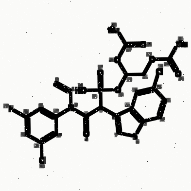 C=CN(C(=O)C(c1csc2ccc(Cl)cc12)P(=O)(O)OC(COC(=O)C(C)(C)C)OC(=O)C(C)(C)C)c1cc(F)cc(Cl)c1